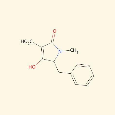 CN1C(=O)C(C(=O)O)=C(O)C1Cc1ccccc1